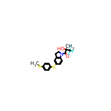 CSc1ccc(Sc2ccc3c(c2)CCN3C(=O)[C@@](C)(O)C(F)(F)F)cc1